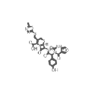 Cc1nnc(SCC2=C(C(=O)O)N3C(=O)[C@H](NC(=O)C(c4ccc(O)cc4)N(C(N)=O)C(=O)c4ccoc4)[C@@H]3SC2)s1